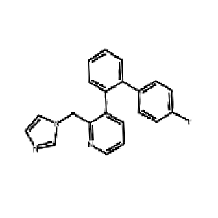 Fc1ccc(-c2ccccc2-c2cccnc2Cn2ccnc2)cc1